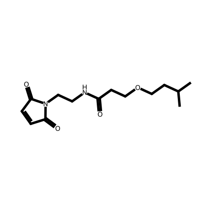 CC(C)CCOCCC(=O)NCCN1C(=O)C=CC1=O